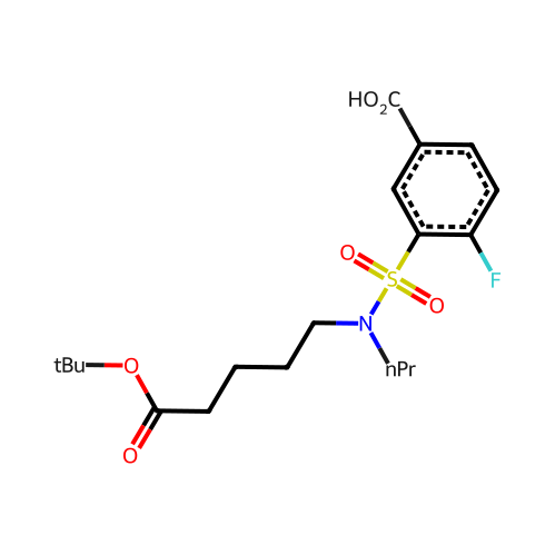 CCCN(CCCCC(=O)OC(C)(C)C)S(=O)(=O)c1cc(C(=O)O)ccc1F